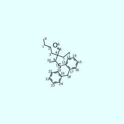 CCCCC(C=O)(CC)C(C)Sc1ccccc1Cc1ccccc1